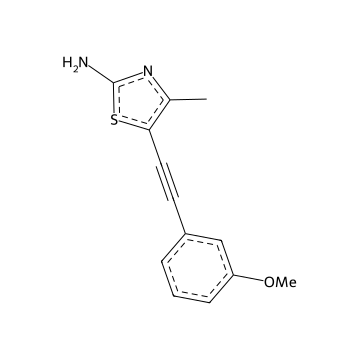 COc1cccc(C#Cc2sc(N)nc2C)c1